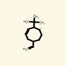 C=CC1C/C=C\C(C(C)(C)C)CCC1